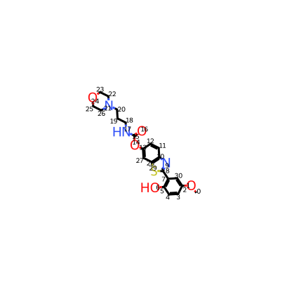 COc1ccc(O)c(-c2nc3ccc(OC(=O)NCCCN4CCOCC4)cc3s2)c1